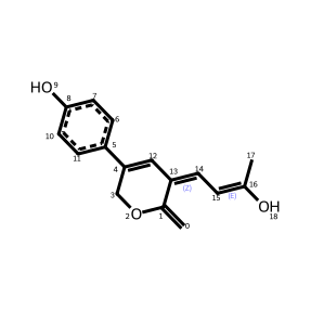 C=C1OCC(c2ccc(O)cc2)=C/C1=C/C=C(\C)O